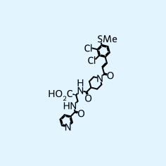 CSc1ccc(/C=C/C(=O)N2CCC(C(=O)N[C@@H](CNC(=O)c3cccnc3)C(=O)O)CC2)c(Cl)c1Cl